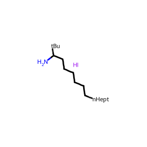 CCCCCCCCCCCCCC(N)C(C)(C)C.I